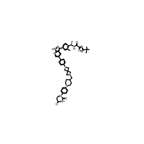 Cc1cc(-c2n[nH]c3ncc(-c4ccc(N5CC6(CN(CC7CCN(c8ccc(N9CCC(=O)NC9=O)cc8)CC7)C6)C5)cc4)cc23)ccc1[C@@H](C)NC(=O)c1nc(C(C)(C)C)no1